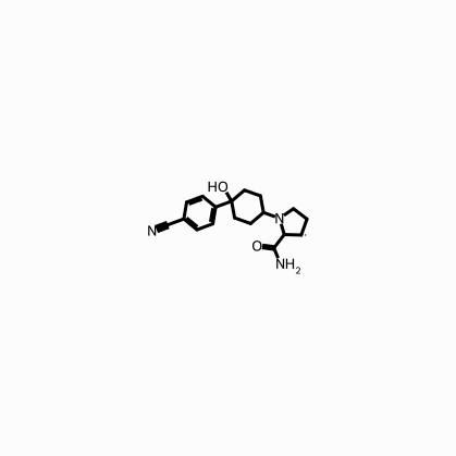 N#Cc1ccc(C2(O)CCC(N3CC[CH]C3C(N)=O)CC2)cc1